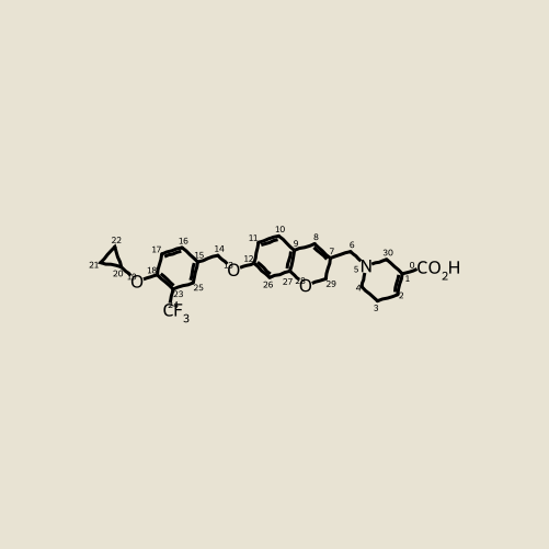 O=C(O)C1=CCCN(CC2=Cc3ccc(OCc4ccc(OC5CC5)c(C(F)(F)F)c4)cc3OC2)C1